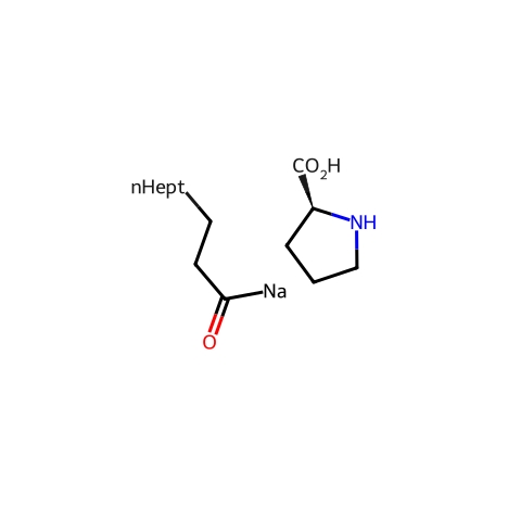 CCCCCCCCC[C](=O)[Na].O=C(O)[C@@H]1CCCN1